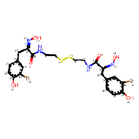 O=C(NCCSSCCNC(=O)/C(Cc1ccc(O)c(Br)c1)=N\O)/C(Cc1ccc(O)c(Br)c1)=N\O